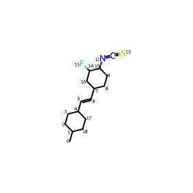 CC1CCC(C=CC2CCC(N=C=S)C(F)C2)CC1